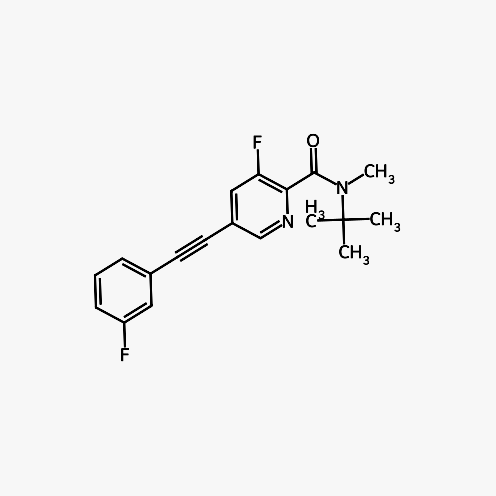 CN(C(=O)c1ncc(C#Cc2cccc(F)c2)cc1F)C(C)(C)C